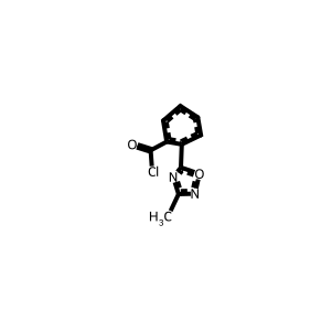 Cc1noc(-c2ccccc2C(=O)Cl)n1